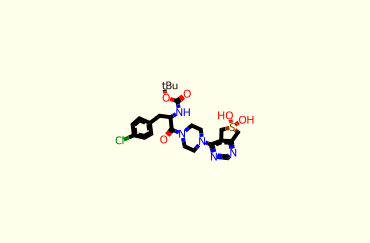 CC(C)(C)OC(=O)NC(Cc1ccc(Cl)cc1)C(=O)N1CCN(c2ncnc3c2CS(O)(O)C3)CC1